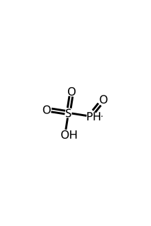 O=[PH]S(=O)(=O)O